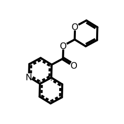 O=C(OC1C=CC=CO1)c1ccnc2ccccc12